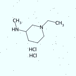 CCN1CCCC(NC)C1.Cl.Cl